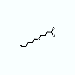 [O]C(Cl)CCCOCCCCCl